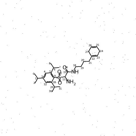 CC(C)c1cc(C(C)C)c(S(=O)(=O)C(N)C(=O)NCCCCC2=CCC=CC2)c(C(C)C)c1